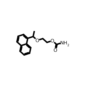 CC(OCCOC(N)=O)c1cccc2ccccc12